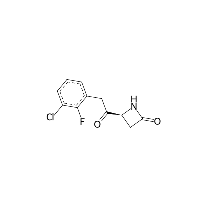 O=C1C[C@@H](C(=O)Cc2cccc(Cl)c2F)N1